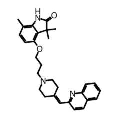 Cc1ccc(OCCCN2CCC(=Cc3ccc4ccccc4n3)CC2)c2c1NC(=O)C2(C)C